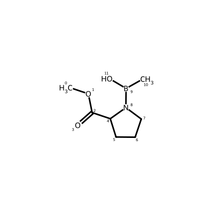 COC(=O)C1CCCN1B(C)O